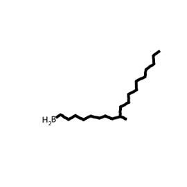 BCCCCCCCCC(C)CCCCCCCCCC